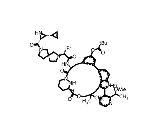 CCn1c(-c2cccnc2[C@H](C)OC)c2c3cc(ccc31)-c1cc(cc(OC(=O)C(C)(C)C)c1)C[C@H](NC(=O)[C@H](C(C)C)N1CC[C@]3(CCN(C(=O)[C@@H]4N[C@@H]4C4CC4)C3)C1)C(=O)N1CCC[C@H](N1)C(=O)OCC(C)(C)C2